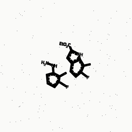 CCOC(=O)c1cc2ccc(F)c(C)c2[nH]1.Cc1c(F)cccc1NN